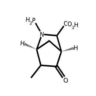 CC1C(=O)[C@H]2C[C@@H]1N(P)C2C(=O)O